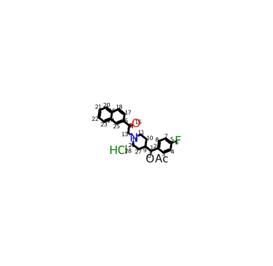 CC(=O)OC(c1ccc(F)cc1)C1CCN(CC(=O)c2ccc3ccccc3c2)CC1.Cl